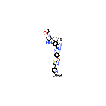 C=CC(=O)N1CCC(Nc2cc3c(Nc4ccc(Oc5nc(-c6ccc(OC)nc6)cs5)cc4F)ncnc3cc2OC)CC1